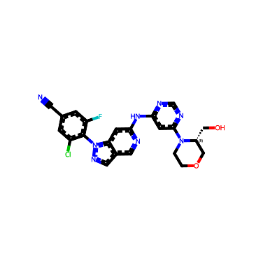 N#Cc1cc(F)c(-n2ncc3cnc(Nc4cc(N5CCOC[C@H]5CO)ncn4)cc32)c(Cl)c1